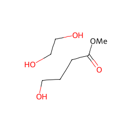 COC(=O)CCCO.OCCO